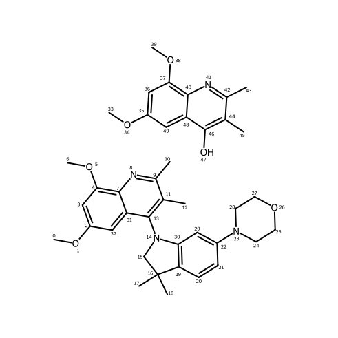 COc1cc(OC)c2nc(C)c(C)c(N3CC(C)(C)c4ccc(N5CCOCC5)cc43)c2c1.COc1cc(OC)c2nc(C)c(C)c(O)c2c1